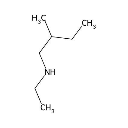 CCNCC(C)CC